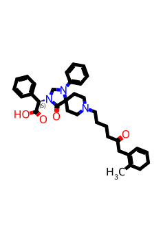 CC1=C(CC(=O)CCCCN2CCC3(CC2)C(=O)N([C@H](C(=O)O)c2ccccc2)CN3c2ccccc2)C=CCC1